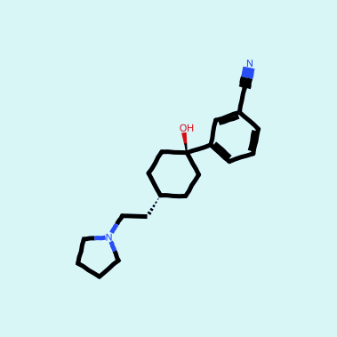 N#Cc1cccc([C@]2(O)CC[C@H](CCN3CCCC3)CC2)c1